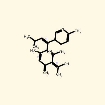 C=C(/C=C(/C)C/C(=C\C(C)C)C1C=NC(C)=CC1)/C(C(C)=N)=C(\C)O